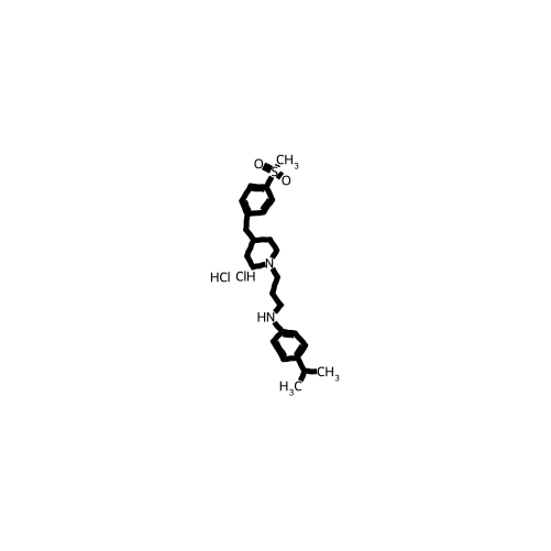 CC(C)c1ccc(NCCCN2CCC(Cc3ccc(S(C)(=O)=O)cc3)CC2)cc1.Cl.Cl